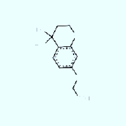 CC1(C)CCOc2cc(OCC(=O)O)ccc21